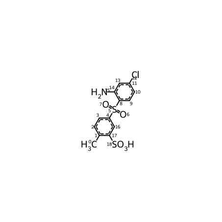 Cc1ccc(S(=O)(=O)c2ccc(Cl)cc2N)cc1S(=O)(=O)O